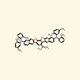 Cc1ccc(C)c(N(c2ccc3cc4c(cc3c2)oc2c4cc(C(C)C)c3c4cc5ccc(N(c6ccccc6C)c6cc(C)ccc6C)cc5cc4oc23)c2ccccc2C)c1